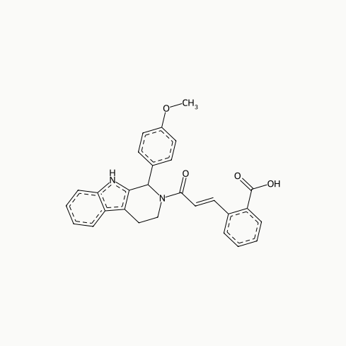 COc1ccc(C2c3[nH]c4ccccc4c3CCN2C(=O)C=Cc2ccccc2C(=O)O)cc1